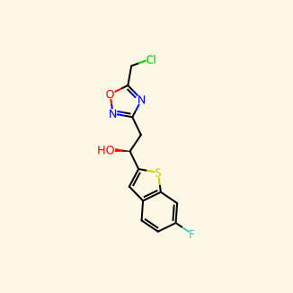 O[C@@H](Cc1noc(CCl)n1)c1cc2ccc(F)cc2s1